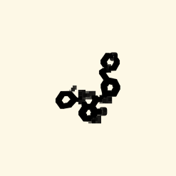 C[C@H]1CCCC[C@@H]1Nc1cc[nH]c(=O)c1C(=N)Nc1cccc(CN2CCOCC2)c1